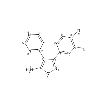 Cc1cc(-c2noc(N)c2-c2ccncn2)ccc1Cl